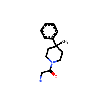 CC1(c2ccccc2)CCN(C(=O)CN)CC1